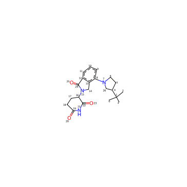 CC(C)(C)C1CCN(c2cccc3c2CN(C2CCC(=O)NC2=O)C3=O)C1